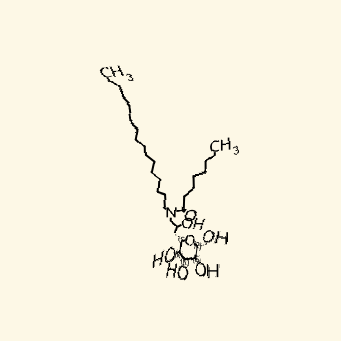 CCCCCCCCCCCCCCCCN(CC(O)C[C@@H]1O[C@H](CO)[C@@H](O)[C@H](O)[C@H]1O)C(=O)CCCCCCC